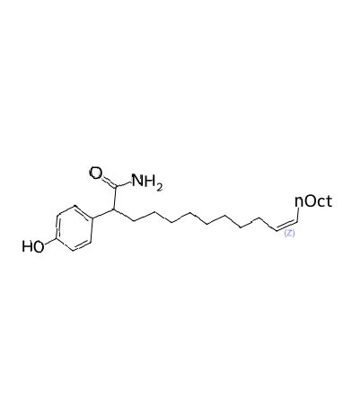 CCCCCCCC/C=C\CCCCCCCCC(C(N)=O)c1ccc(O)cc1